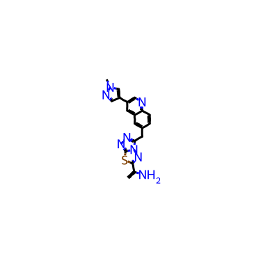 C=C(N)c1nn2c(Cc3ccc4ncc(-c5cnn(C)c5)cc4c3)nnc2s1